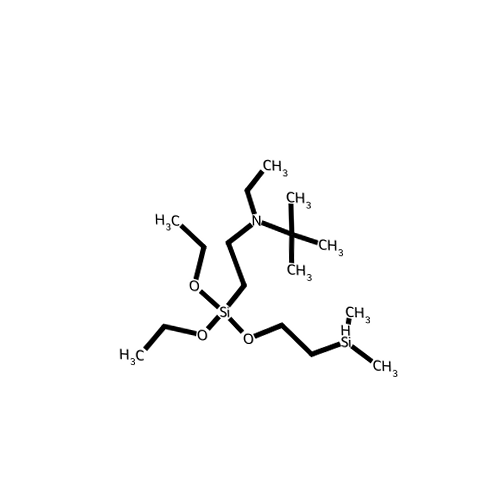 CCO[Si](CCN(CC)C(C)(C)C)(OCC)OCC[SiH](C)C